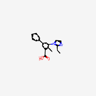 CCc1nccn1-c1cc(-c2ccccc2)cc(C(=O)O)c1C